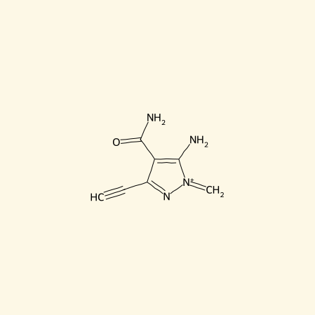 C#CC1=N[N+](=C)C(N)=C1C(N)=O